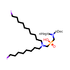 CCCCCCCCCCN(CCCCCCC)CP(=O)(O)CN(CCCCCCCCI)CCCCCCCCCCI